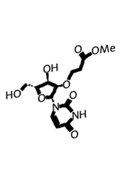 COC(=O)CCO[C@@H]1[C@H](O)[C@@H](CO)O[C@H]1n1ccc(=O)[nH]c1=O